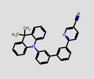 CC1(C)c2ccccc2N(c2cccc(-c3cccc(-c4ccc(C#N)cn4)c3)c2)c2ccccc21